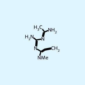 C=C=C(/N=C(N)\N=C(/C)N)NC